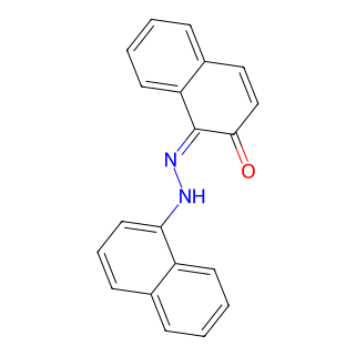 O=C1C=Cc2ccccc2C1=NNc1cccc2ccccc12